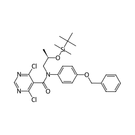 C[C@H](CN(C(=O)c1c(Cl)ncnc1Cl)c1ccc(OCc2ccccc2)cc1)O[Si](C)(C)C(C)(C)C